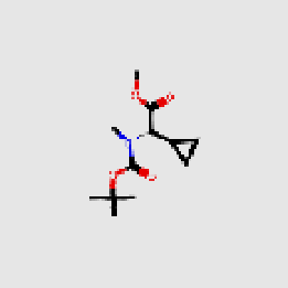 COC(=O)[C@H](C1CC1)N(C)C(=O)OC(C)(C)C